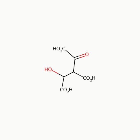 O=C(O)C(=O)C(C(=O)O)C(O)C(=O)O